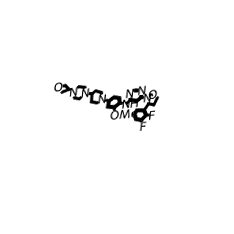 COc1cc(N2CCC(N3CCN(C4COC4)CC3)CC2)ccc1Nc1cc(N2OCCC2c2cccc(F)c2F)ncn1